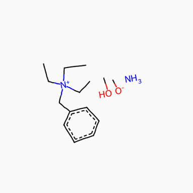 CC[N+](CC)(CC)Cc1ccccc1.CO.C[O-].N